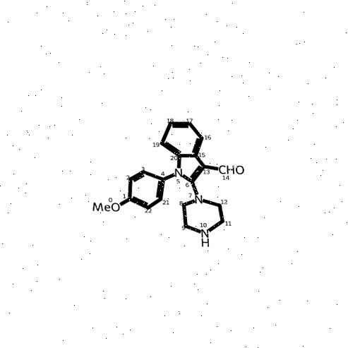 COc1ccc(-n2c(N3CCNCC3)c(C=O)c3ccccc32)cc1